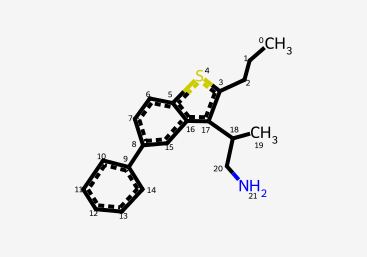 CCCc1sc2ccc(-c3ccccc3)cc2c1C(C)CN